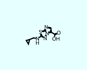 O=C(O)c1cnc2sc(NCC3CC3)nn12